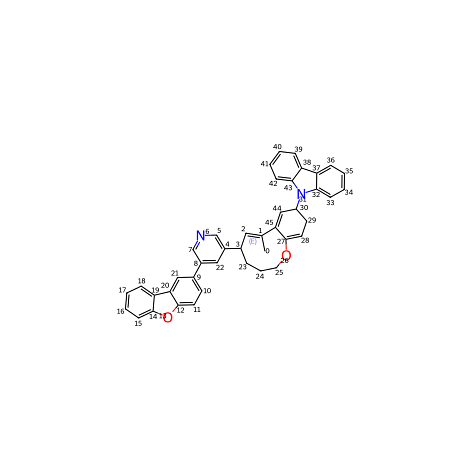 C/C1=C\C(c2cncc(-c3ccc4oc5ccccc5c4c3)c2)CCCOC2=CCC(n3c4ccccc4c4ccccc43)C=C21